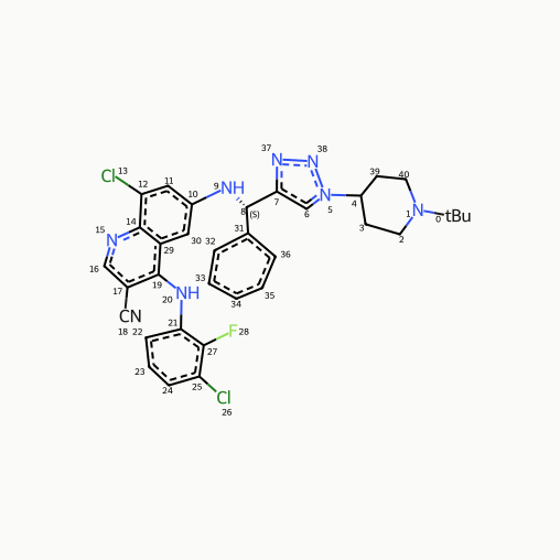 CC(C)(C)N1CCC(n2cc([C@@H](Nc3cc(Cl)c4ncc(C#N)c(Nc5cccc(Cl)c5F)c4c3)c3ccccc3)nn2)CC1